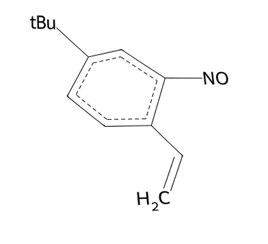 C=Cc1ccc(C(C)(C)C)cc1N=O